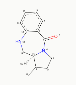 CC1CCN2C(=O)c3ccccc3NC[C@H]12